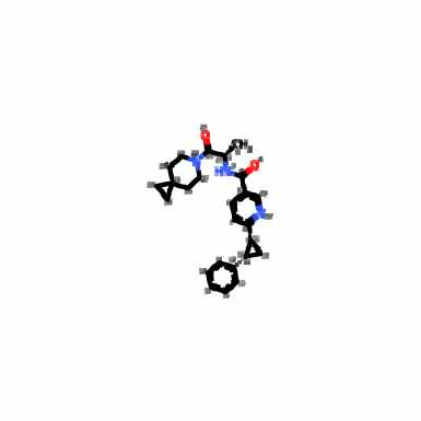 C[C@@H](NC(=O)c1ccc([C@H]2C[C@@H]2c2ccccc2)nc1)C(=O)N1CCC2(CC1)CC2